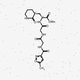 COC(=O)[C@H](C[C@@H]1CCCNC1=O)NC(=O)CNC(=O)CNC(=O)c1cc(C)on1